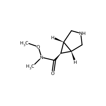 CON(C)C(=O)[C@H]1[C@@H]2CNC[C@@H]21